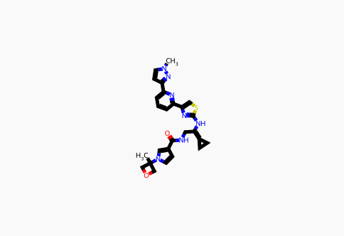 Cn1ccc(-c2cccc(-c3csc(NC(CNC(=O)c4ccn(C5(C)COC5)c4)=C4CC4)n3)n2)n1